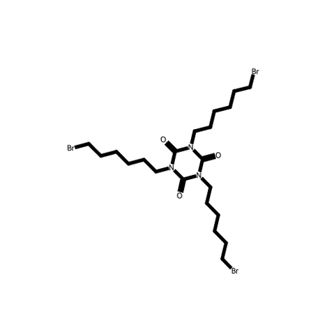 O=c1n(CCCCCCBr)c(=O)n(CCCCCCBr)c(=O)n1CCCCCCBr